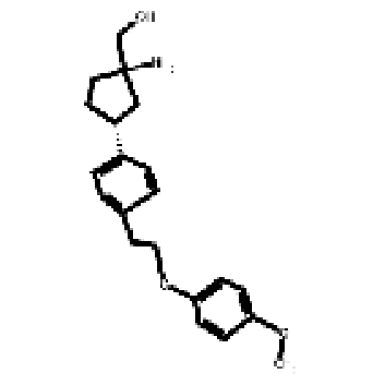 COc1ccc(OCCc2ccc([C@@H]3CC[C@](N)(CO)C3)cc2)cc1